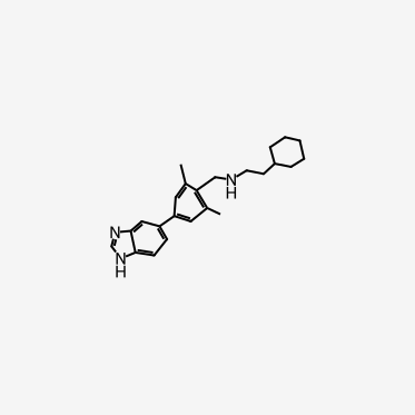 Cc1cc(-c2ccc3[nH]cnc3c2)cc(C)c1CNCCC1CCCCC1